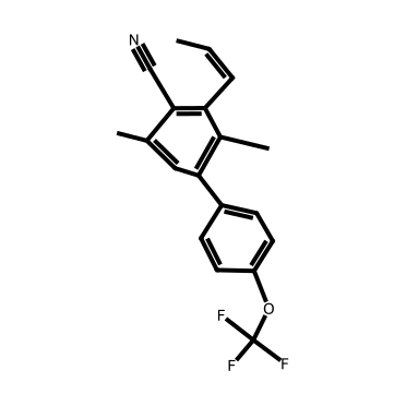 C/C=C\c1c(C)c(-c2ccc(OC(F)(F)F)cc2)cc(C)c1C#N